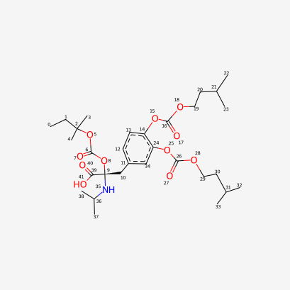 CCC(C)(C)OC(=O)O[C@](Cc1ccc(OC(=O)OCCC(C)C)c(OC(=O)OCCC(C)C)c1)(NC(C)C)C(=O)O